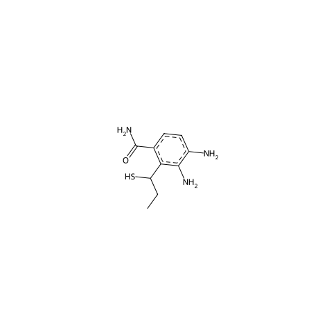 CCC(S)c1c(C(N)=O)ccc(N)c1N